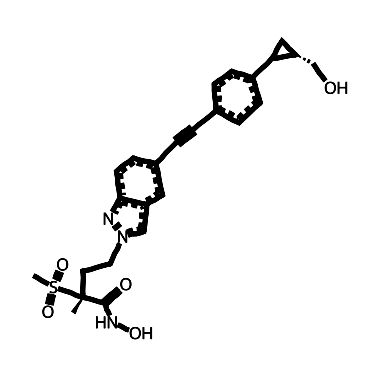 C[C@@](CCn1cc2cc(C#Cc3ccc(C4C[C@@H]4CO)cc3)ccc2n1)(C(=O)NO)S(C)(=O)=O